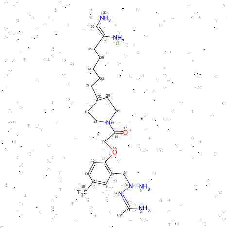 C/C(N)=N/N(N)Cc1cc(C(F)(F)F)ccc1OCC(=O)N1CCC(CCCCC/C(N)=C/N)CC1